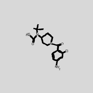 CC(C)(C)N(C(=O)O)C1CCN(C(=O)c2ccc(N)cc2Cl)CC1